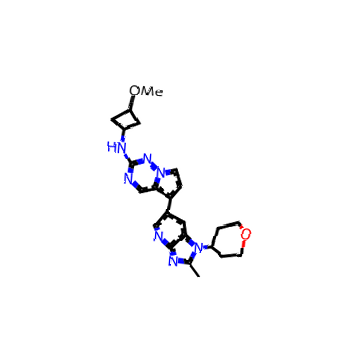 COC1CC(Nc2ncc3c(-c4cnc5nc(C)n(C6CCOCC6)c5c4)ccn3n2)C1